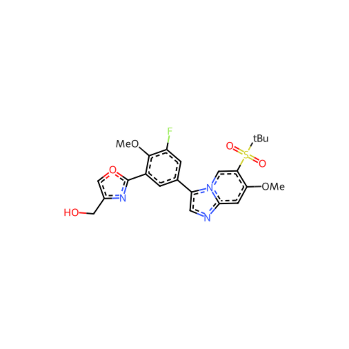 COc1cc2ncc(-c3cc(F)c(OC)c(-c4nc(CO)co4)c3)n2cc1S(=O)(=O)C(C)(C)C